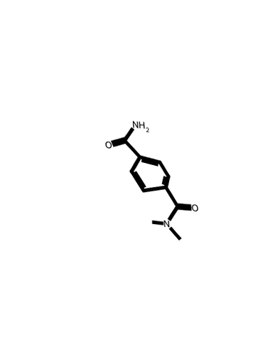 CN(C)C(=O)c1ccc(C(N)=O)cc1